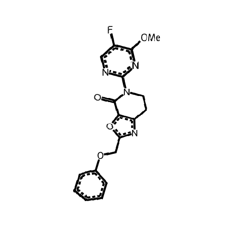 COc1nc(N2CCc3nc(COc4ccccc4)oc3C2=O)ncc1F